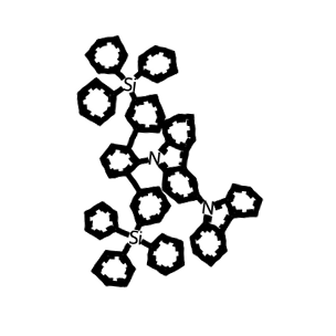 c1ccc([Si](c2ccccc2)(c2ccccc2)c2cccc(-c3cccc(-c4cccc([Si](c5ccccc5)(c5ccccc5)c5ccccc5)c4)c3-n3c4ccccc4c4cc(-n5c6ccccc6c6ccccc65)ccc43)c2)cc1